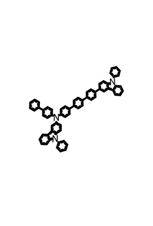 c1ccc(-c2ccc(N(c3ccc(-c4ccc(-c5ccc(-c6ccc7c(c6)c6ccccc6n7-c6ccccc6)cc5)cc4)cc3)c3ccc4c(c3)c3ccccc3n4-c3ccccc3)cc2)cc1